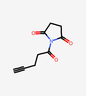 C#CCCC(=O)N1C(=O)CCC1=O